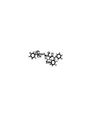 CSCC[C@H](NC(c1ccccc1)c1ccccc1)C(=O)NCCC[C@@](C#N)(c1ccccc1)C(C)C